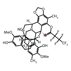 COc1cc2c(cc1O)CCN[C@]21CS[C@@H]2c3c(OC(=O)C(F)(F)C(F)(F)C(F)(F)F)c(C)c4c(c3[C@H](COC1=O)N1C2[C@@H]2c3c(cc(C)c(OC)c3O)C[C@@H]([C@@H]1C#N)N2C)OCO4